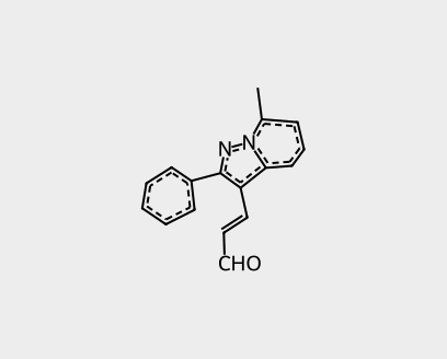 Cc1cccc2c(C=CC=O)c(-c3ccccc3)nn12